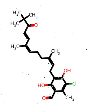 CC(C=CC(=O)C(C)(C)C)=CCCC(C)=CCc1c(O)c(Cl)c(C)c(C=O)c1O